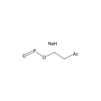 CC(=O)CCOP=O.[NaH]